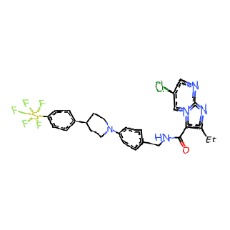 CCc1nc2ncc(Cl)cn2c1C(=O)NCc1ccc(N2CCC(c3ccc(S(F)(F)(F)(F)F)cc3)CC2)cc1